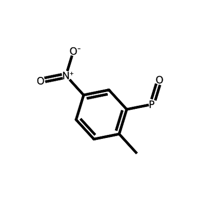 Cc1ccc([N+](=O)[O-])cc1P=O